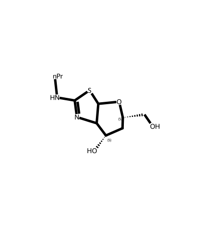 CCCNC1=NC2C(O[C@H](CO)C[C@@H]2O)S1